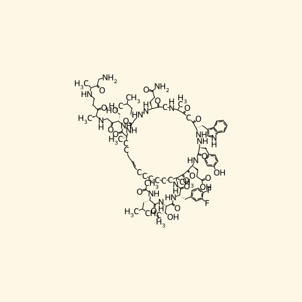 CC(=O)N[C@@H](CC(C)C)C(=O)N[C@H](C(=O)N[C@@H](Cc1ccc(F)c(F)c1)C(=O)N[C@]1(C)CCCCCC/C=C/CCC[C@@](C)(C(=O)N[C@@H](CO)C(=O)CN[C@@H](C)C(=O)CCN[C@@H](C)C(=O)CN)NC(=O)[C@H](CCC(C)C)NN[C@@H](CCC(N)=O)C(=O)CN[C@@H](C)C(=O)CC(=O)[C@H](Cc2c[nH]c3ccccc23)NN[C@@H](Cc2ccc(O)cc2)C(=O)N[C@@H](CCC(=O)O)C(=O)C1=O)[C@@H](C)O